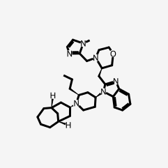 CCC[C@H]1C[C@@H](n2c(C[C@@H]3COCCN3Cc3nccn3C)nc3ccccc32)CCN1[C@@H]1C[C@@H]2CCCC[C@@H](C2)C1